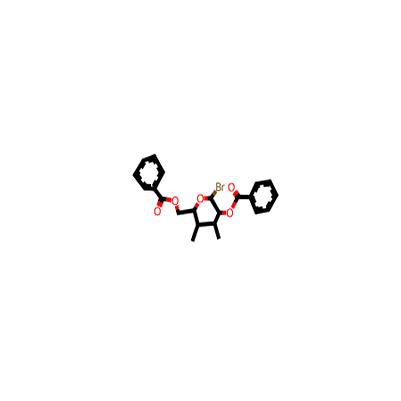 CC1C(COC(=O)c2ccccc2)OC(Br)C(OC(=O)c2ccccc2)C1C